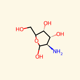 N[C@H]1C(O)OC(CO)[C@H](O)[C@@H]1O